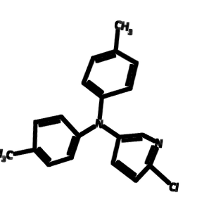 Cc1ccc(N(c2ccc(C)cc2)c2ccc(Cl)nc2)cc1